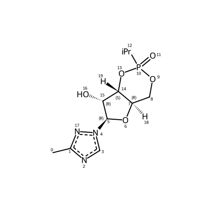 Cc1ncn([C@@H]2O[C@@H]3COP(=O)(C(C)C)O[C@H]3[C@H]2O)n1